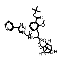 COc1c(CC(NC(=O)Cn2cc(-c3cccnc3)nn2)B2O[C@@H]3C[C@@H]4C[C@@H](C4(C)C)[C@]3(C)O2)cccc1C(=O)OC(C)(C)C